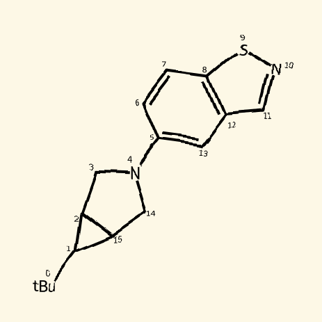 CC(C)(C)C1C2CN(c3ccc4sncc4c3)CC21